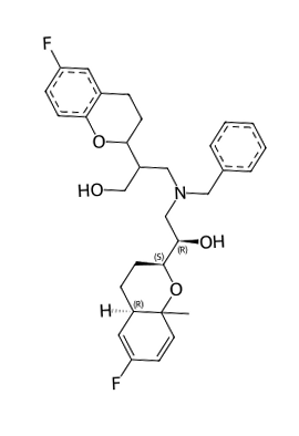 CC12C=CC(F)=C[C@H]1CC[C@@H]([C@H](O)CN(Cc1ccccc1)CC(CO)C1CCc3cc(F)ccc3O1)O2